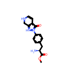 COC(=O)[C@@H](N)Cc1ccc(-n2[nH]c3c(c2=O)C=CNC3)cc1